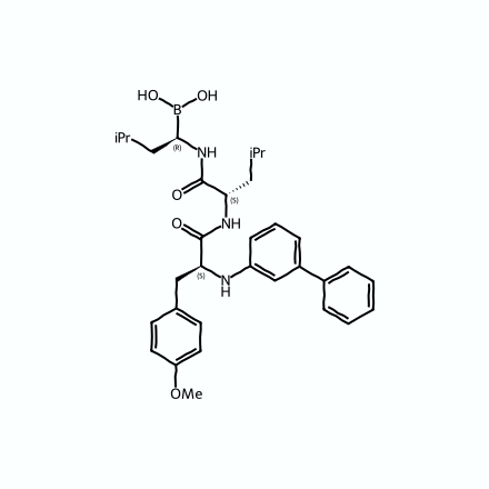 COc1ccc(C[C@H](Nc2cccc(-c3ccccc3)c2)C(=O)N[C@@H](CC(C)C)C(=O)N[C@@H](CC(C)C)B(O)O)cc1